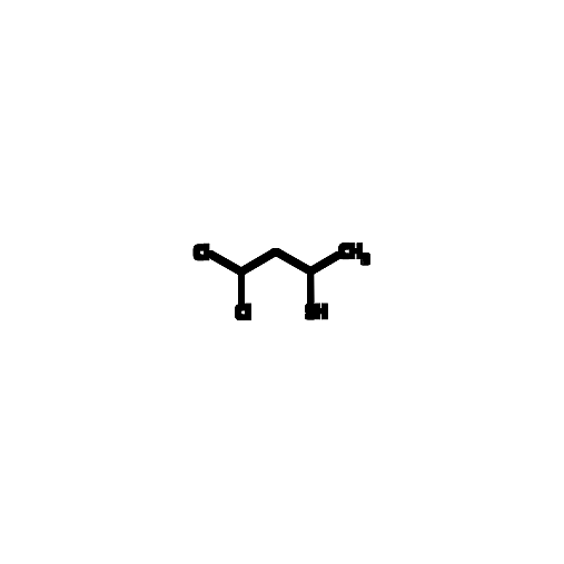 CC(S)CC(Cl)Cl